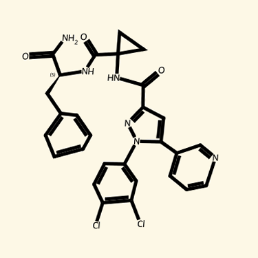 NC(=O)[C@H](Cc1ccccc1)NC(=O)C1(NC(=O)c2cc(-c3cccnc3)n(-c3ccc(Cl)c(Cl)c3)n2)CC1